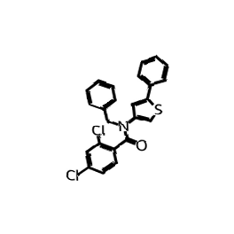 O=C(c1ccc(Cl)cc1Cl)N(Cc1ccccc1)c1csc(-c2ccccc2)c1